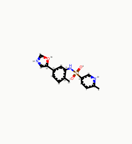 Cc1ccc(S(=O)(=O)Nc2cc(-c3cnco3)ccc2C)cn1